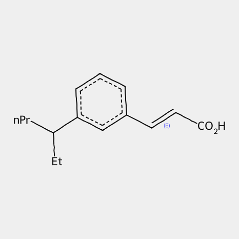 CCCC(CC)c1cccc(/C=C/C(=O)O)c1